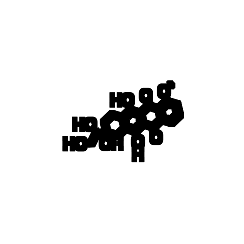 COc1cccc2c1C(=O)c1c(O)c3c(c(O)c1C2=O)C[C@@](O)(C(O)CO)CC3